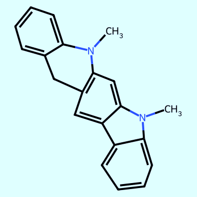 CN1c2ccccc2Cc2cc3c4ccccc4n(C)c3cc21